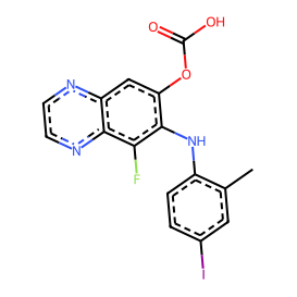 Cc1cc(I)ccc1Nc1c(OC(=O)O)cc2nccnc2c1F